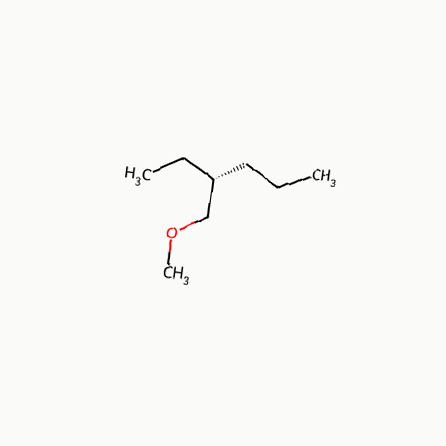 CCC[C@@H](CC)COC